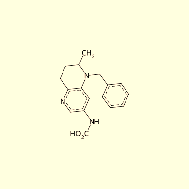 CC1CCc2ncc(NC(=O)O)cc2N1Cc1ccccc1